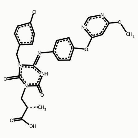 COc1cc(Oc2ccc(/N=c3\[nH]c(=O)n(C[C@H](C)C(=O)O)c(=O)n3Cc3ccc(Cl)cc3)cc2)ncn1